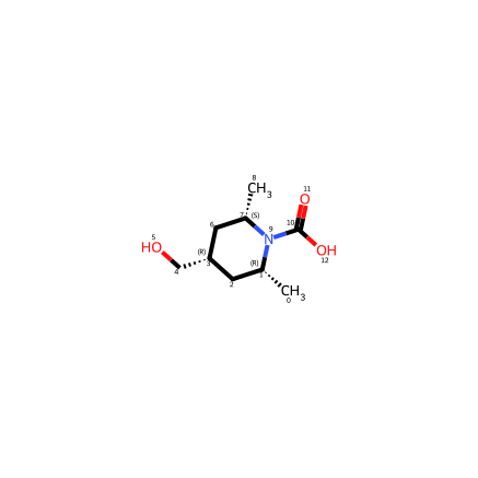 C[C@@H]1C[C@H](CO)C[C@H](C)N1C(=O)O